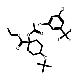 CCOC(=O)C1(OC(C)=O)CCC(OC(C)(C)C)CC1.FC(F)(F)c1cc(Cl)cc(Cl)c1